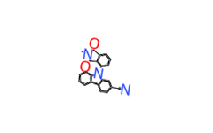 CN1C(=O)c2cccc(-n3c4ccccc4c4ccc(C#N)cc43)c2C1=O